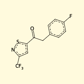 O=C(Cc1ccc(F)cc1)c1cc(C(F)(F)F)ns1